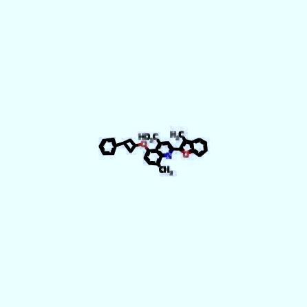 Cc1c(-c2cc(C(=O)O)c3c(OC4CC(c5ccccc5)C4)ccc(C)c3n2)oc2ccccc12